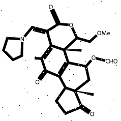 COCC1OC(=O)/C(=C/N2CCCC2)C2=C(C)C(=O)C3=C(C(OC=O)C[C@]4(C)C(=O)CCC34)[C@]21C